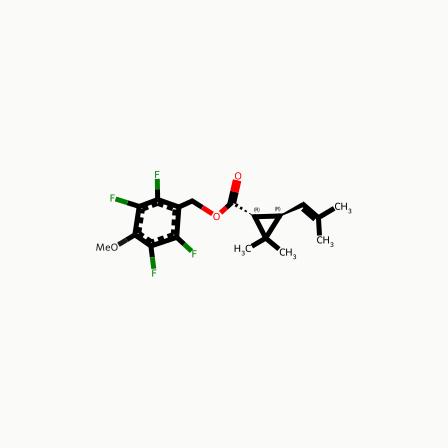 COc1c(F)c(F)c(COC(=O)[C@@H]2[C@@H](C=C(C)C)C2(C)C)c(F)c1F